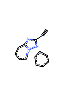 C#Cc1nc2ccccn2n1.c1ccccc1